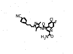 Cc1nn(CCCc2ccc(C#N)cc2)c(C)c1NC(=O)c1cc(C(N)=O)nc2cc(F)c(Cl)cc12